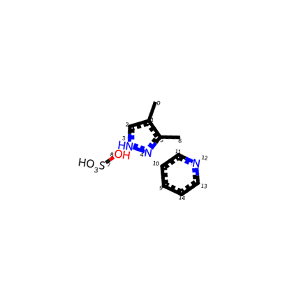 Cc1c[nH]nc1C.O=S(=O)(O)O.c1ccncc1